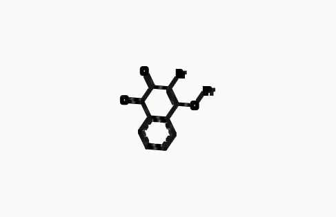 CC(C)OC1=C(Br)C(=O)C(=O)c2ccccc21